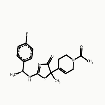 CC(=O)N1CC=C(C2(C)SC(N[C@@H](C)c3ccc(F)cc3)=NC2=O)CC1